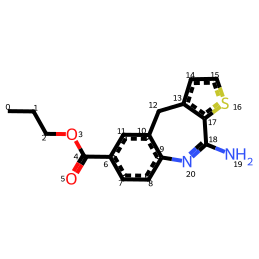 CCCOC(=O)c1ccc2c(c1)Cc1ccsc1C(N)=N2